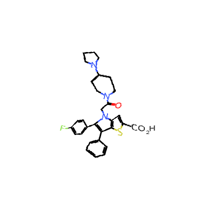 O=C(O)c1cc2c(s1)c(-c1ccccc1)c(-c1ccc(F)cc1)n2CC(=O)N1CCC(N2CCCC2)CC1